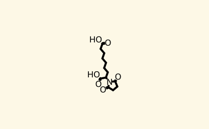 O=C(O)CCCCCCC(C(=O)O)N1C(=O)CCC1=O